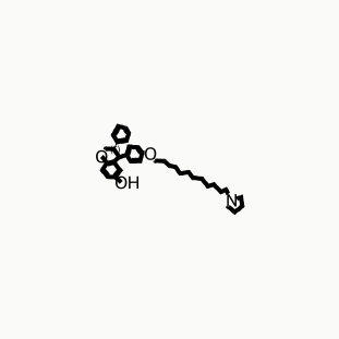 Oc1ccc2c(c1)C(c1ccc(OCCCCCCCCCCCCN3CCCC3)cc1)[C@@H](c1ccccc1)CO2